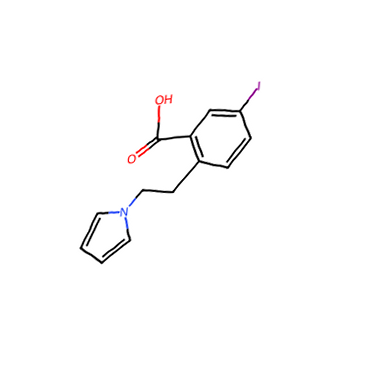 O=C(O)c1cc(I)ccc1CCn1cccc1